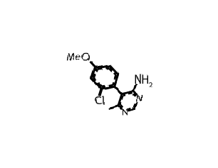 COc1ccc(-c2c(C)ncnc2N)c(Cl)c1